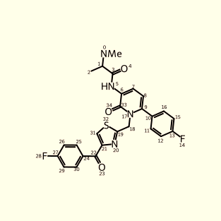 CNC(C)C(=O)Nc1ccc(-c2ccc(F)cc2)n(Cc2nc(C(=O)c3ccc(F)cc3)cs2)c1=O